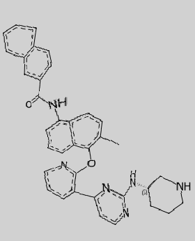 Cc1ccc2c(NC(=O)c3ccc4ccccc4c3)cccc2c1Oc1ncccc1-c1ccnc(N[C@H]2CCCNC2)n1